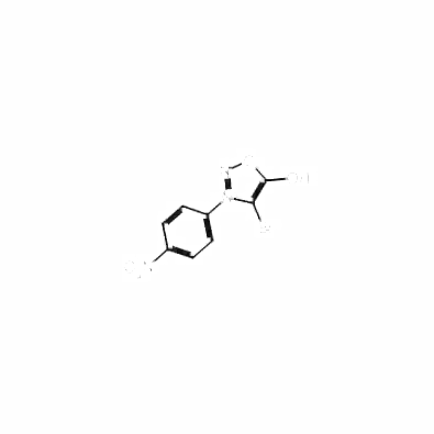 O=[N+]([O-])c1ccc(-[n+]2noc(O)c2Br)cc1